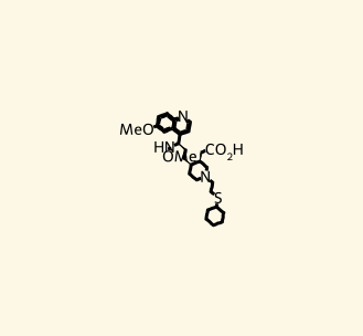 CON[C@H](CC[C@@H]1CCN(CCSC2CCCCC2)C[C@@H]1CC(=O)O)c1ccnc2ccc(OC)cc12